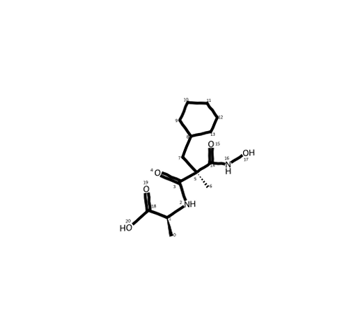 C[C@H](NC(=O)[C@@](C)(CC1CCCCC1)C(=O)NO)C(=O)O